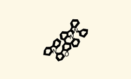 c1ccc(-n2c3ccccc3c3c4cccc(-c5ccc6oc7cccc(-n8c9ccccc9c9ccccc98)c7c6c5)c4n(-c4ccccc4)c32)cc1